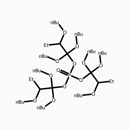 CCCCOC(CC)C(OCCCC)(OCCCC)OP(=O)(OC(OCCCC)(OCCCC)C(CC)OCCCC)OC(OCCCC)(OCCCC)C(CC)OCCCC